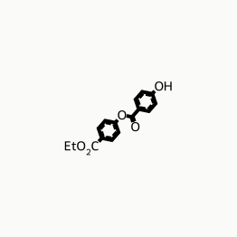 CCOC(=O)c1ccc(OC(=O)c2ccc(O)cc2)cc1